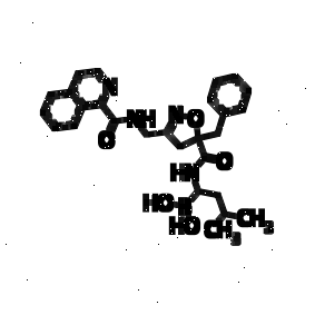 CC(C)CC(NC(=O)C1(Cc2ccccc2)CC(CNC(=O)c2nccc3ccccc23)=NO1)B(O)O